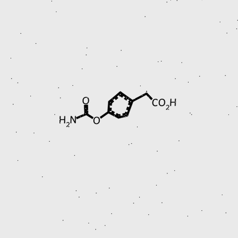 NC(=O)Oc1ccc([CH]C(=O)O)cc1